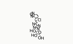 OCC1OC(n2cnc3c(SCc4c(Cl)ccc5nonc45)ncnc32)C(O)C1O